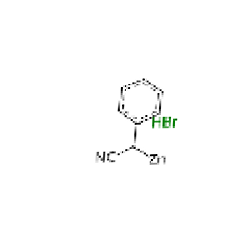 Br.N#C[CH]([Zn])c1ccccc1